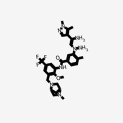 COc1c(CN2CC3CC2CN3C)cc(C(F)(F)F)cc1NC(=O)c1ccc(C)c(N(N)/C=C(\N)c2cnn(C)c2C)c1